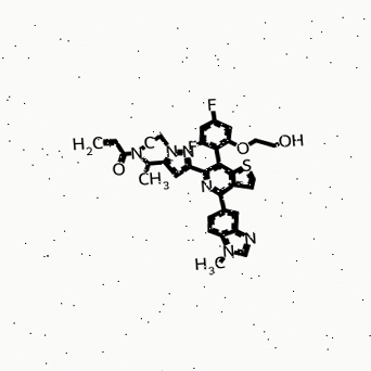 C=CC(=O)N1CCn2nc(-c3nc(-c4ccc5c(c4)ncn5C)c4ccsc4c3-c3c(F)cc(F)cc3OCCO)cc2C1C